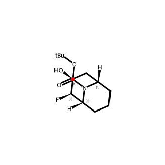 CC(C)(C)OC(=O)N1[C@H]2CCC[C@@H]1[C@@H](F)[C@@H](O)C2